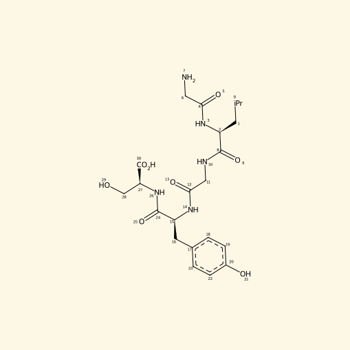 CC(C)C[C@H](NC(=O)CN)C(=O)NCC(=O)N[C@@H](Cc1ccc(O)cc1)C(=O)N[C@@H](CO)C(=O)O